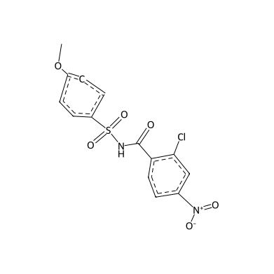 COc1ccc(S(=O)(=O)NC(=O)c2ccc([N+](=O)[O-])cc2Cl)cc1